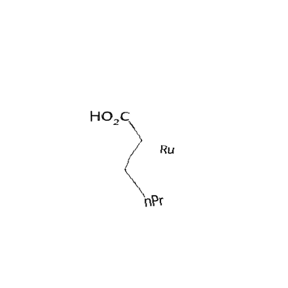 CCCCCC(=O)O.[Ru]